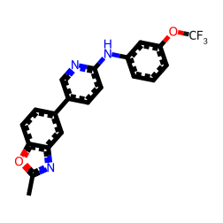 Cc1nc2cc(-c3ccc(Nc4cccc(OC(F)(F)F)c4)nc3)ccc2o1